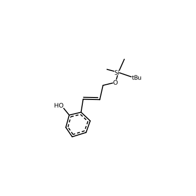 CC(C)(C)[Si](C)(C)OCC=Cc1ccccc1O